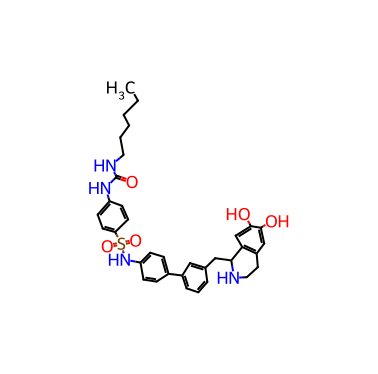 CCCCCCNC(=O)Nc1ccc(S(=O)(=O)Nc2ccc(-c3cccc(CC4NCCc5cc(O)c(O)cc54)c3)cc2)cc1